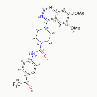 COc1cc2ncnc(N3CCN(C(=O)Nc4ccc(C(=O)C(F)(F)F)cc4)CC3)c2cc1OC